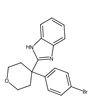 Brc1ccc(C2(c3nc4ccccc4[nH]3)CCOCC2)cc1